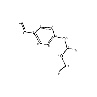 C=Cc1ccc(OC(C)OCC)cc1